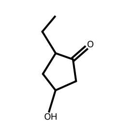 CCC1CC(O)CC1=O